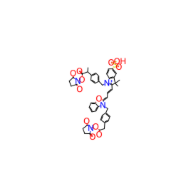 CC(C(=O)ON1C(=O)CCC1=O)c1ccc(C[N+]2=C(/C=C/C=C3\Oc4ccccc4N3Cc3ccc(CC(=O)ON4C(=O)CCC4=O)cc3)C(C)(C)c3cc(S(=O)(=O)O)ccc32)cc1